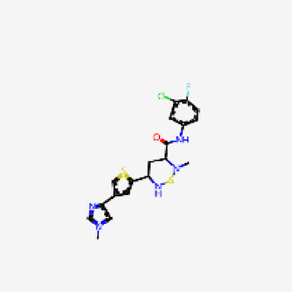 CN1SNC(c2cc(-c3cn(C)cn3)cs2)CC1C(=O)Nc1ccc(F)c(Cl)c1